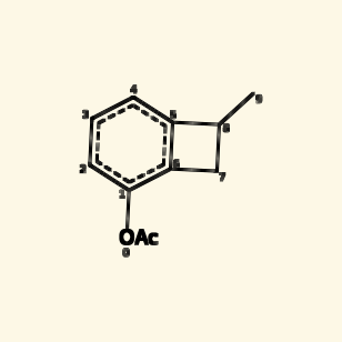 CC(=O)Oc1cccc2c1CC2C